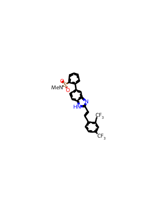 CNS(=O)(=O)c1ccccc1-c1ccc2[nH]c(C=Cc3ccc(C(F)(F)F)cc3C(F)(F)F)nc2c1